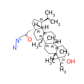 C=C(C)[C@@H]1CC[C@]2(CC(=O)C=[N+]=[N-])CC[C@]3(C)[C@H](CC[C@@H]4[C@@]5(C)CC[C@H](O)C(C)(C)[C@@H]5CC[C@]43C)[C@@H]12